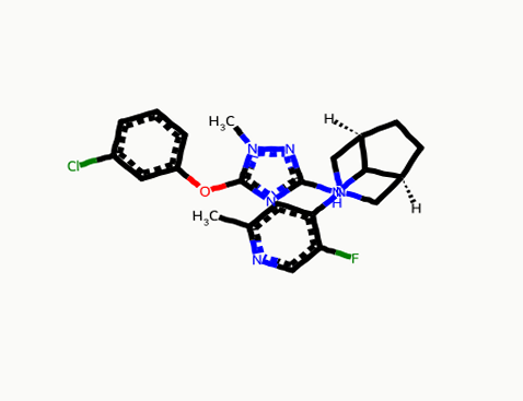 Cc1cc(N2C[C@H]3CC[C@@H](C2)C3Nc2nc(Oc3cccc(Cl)c3)n(C)n2)c(F)cn1